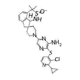 CC1(C)c2cccc3c2[C@@H](N[S+]1[O-])C1(CCN(c2cnc(Sc4ccnc(C5CC5)c4Cl)c(N)n2)CC1)C3